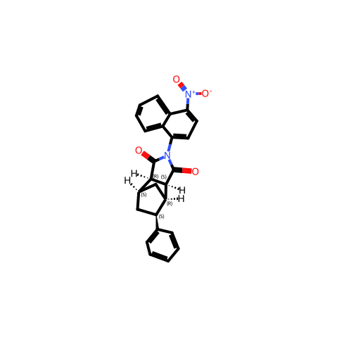 O=C1[C@@H]2[C@H]3C[C@@H]([C@@H]2C(=O)N1c1ccc([N+](=O)[O-])c2ccccc12)[C@@H](c1ccccc1)C3